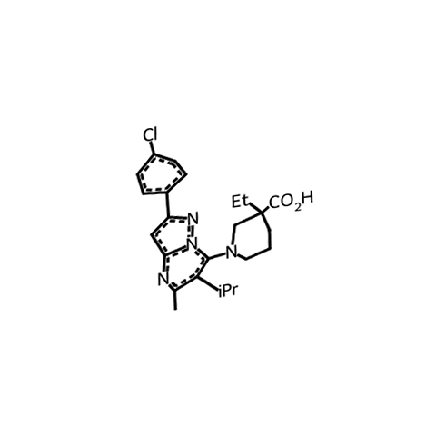 CCC1(C(=O)O)CCCN(c2c(C(C)C)c(C)nc3cc(-c4ccc(Cl)cc4)nn23)C1